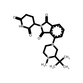 CN1CCN(c2cccc3c2C(=O)N(C2CCC(=O)NC2=O)C3=O)CC1C(C)(C)C